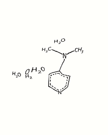 CN(C)c1ccncc1.O.O.O.O